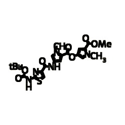 COC(=O)c1cc(OC(=O)c2cc(NC(=O)c3csc(NC(=O)OC(C)(C)C)n3)cn2C)cn1C